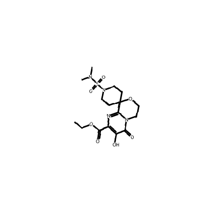 CCOC(=O)c1nc2n(c(=O)c1O)CCOC21CCN(S(=O)(=O)N(C)C)CC1